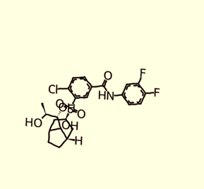 C[C@H](O)[C@H](O)[C@@]1(O)C2CC[C@H]1C[C@H](S(=O)(=O)c1cc(C(=O)Nc3ccc(F)c(F)c3)ccc1Cl)C2